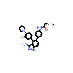 C=CC(=O)Nc1ccc(-c2ccc3[nH]nc(N)c3c2-c2ccc(N3CCCC3)c(F)c2)cc1